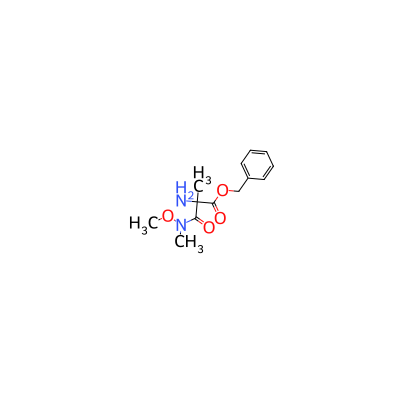 CON(C)C(=O)C(C)(N)C(=O)OCc1ccccc1